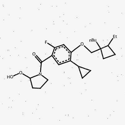 CCCCC1(COc2cc(F)c(C(=O)N3CCCC3OO)cc2C2CC2)CCC1CC